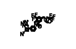 Cn1cnnc1C[C@]1(c2cccc(N3Cc4c(cc(CN5CCOC(C(F)(F)F)C5)cc4C(F)(F)F)C3=O)c2)C[C@H](C#N)C1